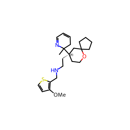 COc1ccsc1CNCC[C@@]1(C2(C)CC=CC=N2)CCOC2(CCCC2)C1